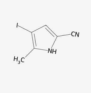 Cc1[nH]c(C#N)cc1I